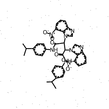 CC(C)c1ccc(NC(=O)C(C(C(=O)Nc2ccc(C(C)C)cc2)n2cnc3cccc([N+](=O)[O-])c32)n2cnc3cccc([N+](=O)[O-])c32)cc1